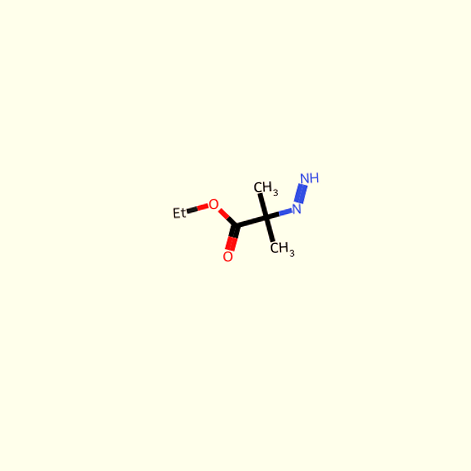 CCOC(=O)C(C)(C)N=N